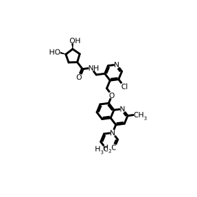 C=CN(/C=C\C)c1cc(C)nc2c(OCc3c(Cl)cncc3CNC(=O)C3C[C@@H](O)[C@@H](O)C3)cccc12